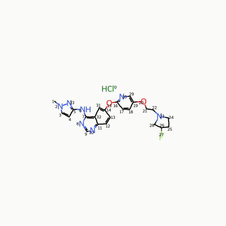 Cl.Cn1ccc(Nc2ncnc3ccc(Oc4ccc(OCCN5CC[C@@H](F)C5)cn4)cc23)n1